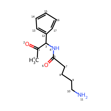 CC(=O)C(NC(=O)CCCCN)c1ccccc1